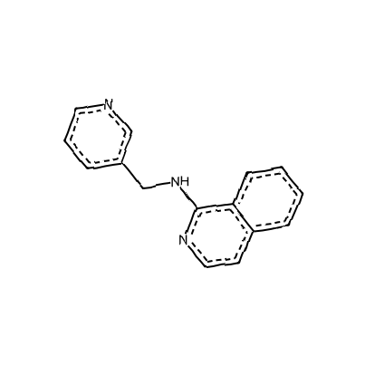 c1cncc(CNc2nccc3ccccc23)c1